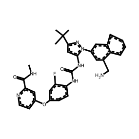 CNC(=O)c1cc(Oc2ccc(NC(=O)Nc3cc(C(C)(C)C)nn3-c3cc(CN)c4ccccc4c3)c(F)c2)ccn1